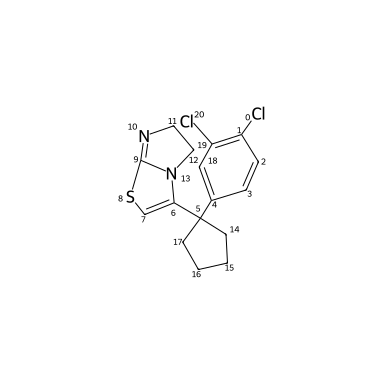 Clc1ccc(C2(C3=CSC4=NCCN34)CCCC2)cc1Cl